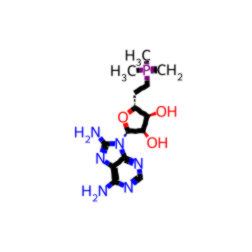 C=P(C)(C)CC[C@H]1O[C@@H](n2c(N)nc3c(N)ncnc32)[C@H](O)[C@@H]1O